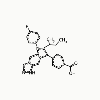 CCC(C)c1c(-c2ccc(C(=O)O)cc2)c2cc3[nH]ncc3cc2n1-c1ccc(F)cc1